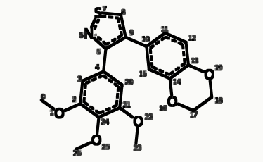 COc1cc(-c2nscc2-c2ccc3c(c2)OCCO3)cc(OC)c1OC